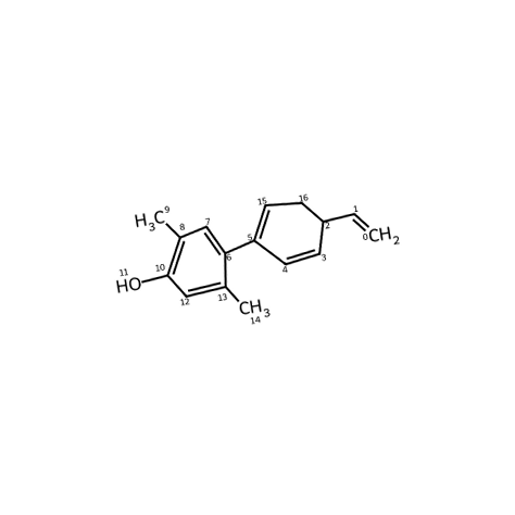 C=CC1C=CC(c2cc(C)c(O)cc2C)=CC1